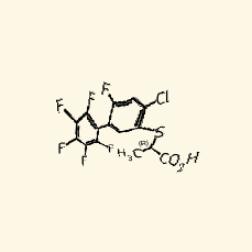 C[C@@H](Sc1cc(-c2c(F)c(F)c(F)c(F)c2F)c(F)cc1Cl)C(=O)O